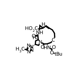 Cc1nnn([C@@H]2C[C@H]3C(=O)N[C@]4(C(=O)O)C[C@H]4/C=C\CCCCC[C@H](NC(=O)OC(C)(C)C)C(=O)N3C2)n1